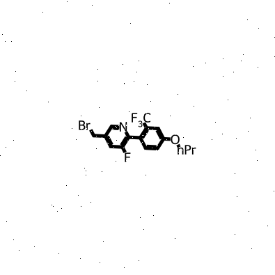 CCCOc1ccc(-c2ncc(CBr)cc2F)c(C(F)(F)F)c1